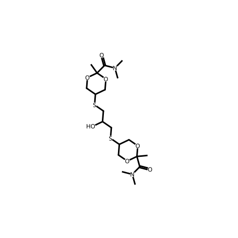 CN(C)C(=O)C1(C)OCC(SCC(O)CSC2COC(C)(C(=O)N(C)C)OC2)CO1